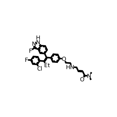 CCC(=C(c1ccc(OCCNCC=CC(=O)N(C)C)cc1)c1ccc2[nH]nc(F)c2c1)c1ccc(F)cc1Cl